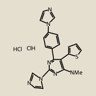 CNc1nc(-n2ccnc2)nc(-c2ccc(-n3ccnc3)cc2)c1-c1cccs1.Cl.Cl